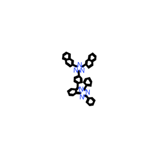 c1ccc(-c2nc(-c3ccccc3)n3c(-c4ccc(-c5nc(-c6ccc7ccccc7c6)nc(-c6ccc7ccccc7c6)n5)cc4)c4ccccc4c3n2)cc1